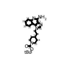 CC(C)(C)OC(=O)N1CCC(CCn2cnc3c(N)nc4ccccc4c32)CC1